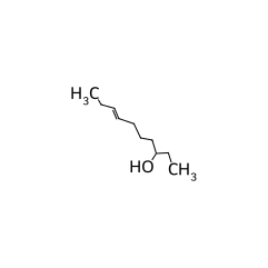 CC/C=C/CCCC(O)CC